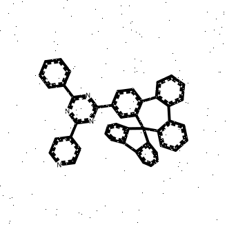 c1ccc(-c2nc(-c3ccncc3)nc(-c3ccc4c(c3)C3(c5ccccc5-c5ccccc5-4)c4ccccc4-c4ccccc43)n2)cc1